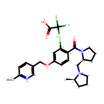 COc1ccc(COc2ccc(C(=O)N3CCC[C@H]3CN3CCC[C@H]3C)c(F)c2)cn1.O=C(O)C(F)(F)F